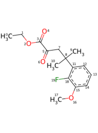 CCOC(=O)C(=O)CC(C)(C)c1cccc(OC)c1F